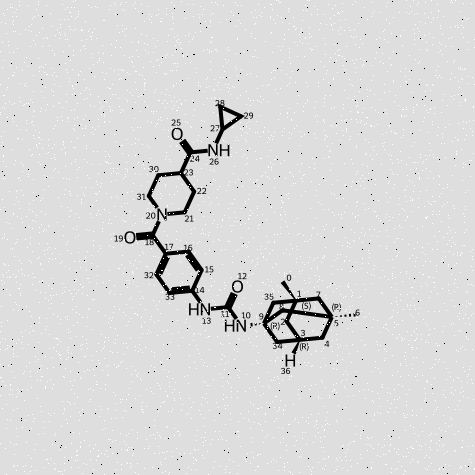 C[C@]12C[C@@H]3C[C@](C)(C1)C[C@@](NC(=O)Nc1ccc(C(=O)N4CCC(C(=O)NC5CC5)CC4)cc1)(C3)C2